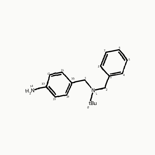 CC(C)(C)N(Cc1ccccc1)Cc1ccc(N)cc1